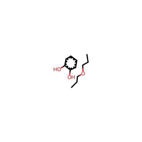 CCCOCCC.Oc1ccccc1O